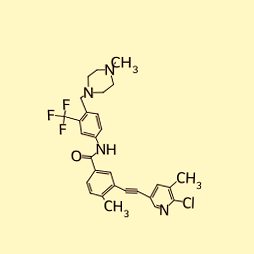 Cc1ccc(C(=O)Nc2ccc(CN3CCN(C)CC3)c(C(F)(F)F)c2)cc1C#Cc1cnc(Cl)c(C)c1